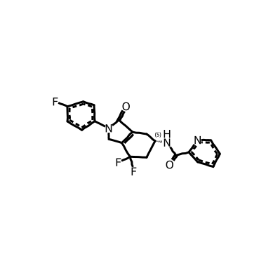 O=C(N[C@H]1CC2=C(CN(c3ccc(F)cc3)C2=O)C(F)(F)C1)c1ccccn1